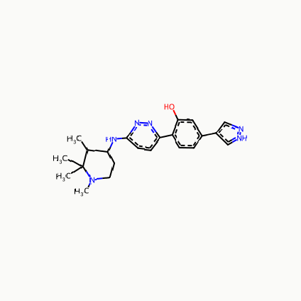 CC1C(Nc2ccc(-c3ccc(-c4cn[nH]c4)cc3O)nn2)CCN(C)C1(C)C